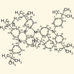 CC(C)(C)c1ccc(N(c2ccc(C(C)(C)C)cc2)c2ccc(N3c4ccc(C(C)(C)C)cc4B4c5cc(C(C)(C)C)ccc5N(c5ccc(C(C)(C)C)cc5)c5cccc3c54)c3c2-c2ccccc2C3(C)C)cc1